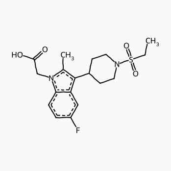 CCS(=O)(=O)N1CCC(c2c(C)n(CC(=O)O)c3ccc(F)cc23)CC1